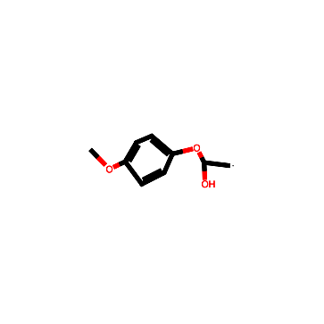 [CH2]C(O)Oc1ccc(OC)cc1